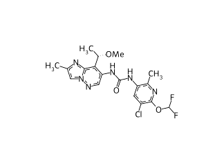 CO[C@@H](C)c1c(NC(=O)Nc2cc(Cl)c(OC(F)F)nc2C)cnn2cc(C)nc12